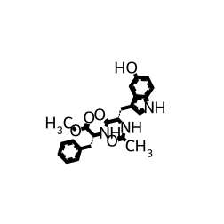 COC(=O)[C@@H](Cc1ccccc1)NC(=O)[C@H](Cc1c[nH]c2ccc(O)cc12)NC(C)=O